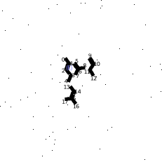 C/C=C/CC.C=C(C)C.C=CCC.CC=C(C)C